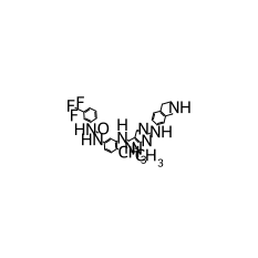 Cc1ccc(NC(=O)Nc2cccc(C(F)(F)F)c2)cc1Nc1nn(C)c2nc(Nc3ccc4c(c3)CNCC4)ncc12